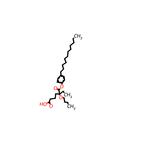 CCCCCCCCCCCCc1ccc(OC(=O)C(CC)(CCCC(=O)O)OCCCC)cc1